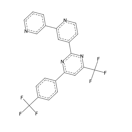 FC(F)(F)c1ccc(-c2cc(C(F)(F)F)nc(-c3ccnc(-c4cccnc4)c3)n2)cc1